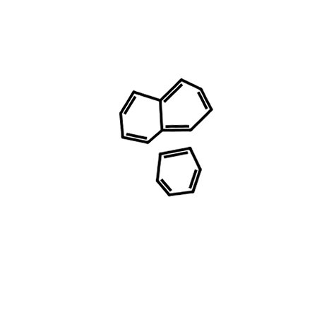 c1ccc2ccccc2c1.c1ccccc1